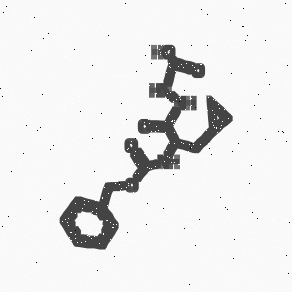 O=C(O)NNC(=O)C(CC1CC1)NC(=O)OCc1ccccc1